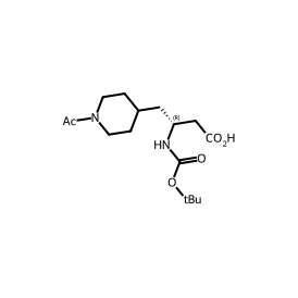 CC(=O)N1CCC(C[C@H](CC(=O)O)NC(=O)OC(C)(C)C)CC1